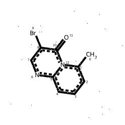 Cc1cccc2n[c]c(Br)c(=O)n12